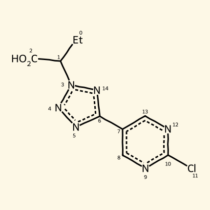 CCC(C(=O)O)n1nnc(-c2cnc(Cl)nc2)n1